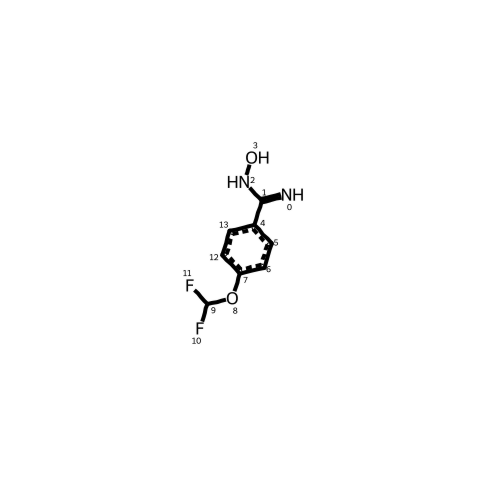 N=C(NO)c1ccc(OC(F)F)cc1